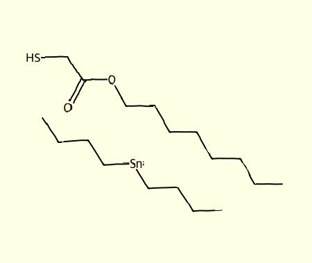 CCCCCCCCOC(=O)CS.CCC[CH2][Sn][CH2]CCC